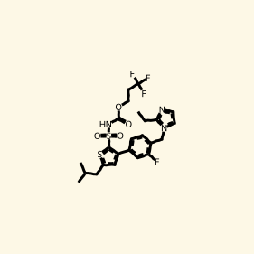 CCc1nccn1Cc1ccc(-c2cc(CC(C)C)sc2S(=O)(=O)NC(=O)OCCC(F)(F)F)cc1F